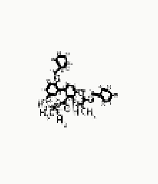 C[C@H](Nc1cccc(-c2cc(I)ccc2OCc2ccccc2)c1C(=O)OC(C)(C)C)C(=O)OCc1ccccc1